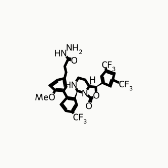 COc1ccc(CCC(=O)NN)cc1-c1ccc(C(F)(F)F)cc1[C@H]1NCC[C@H]2[C@@H](c3cc(C(F)(F)F)cc(C(F)(F)F)c3)OC(=O)N12